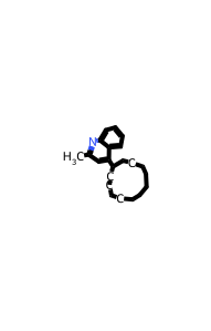 Cc1cc(C2CCCCCCCCCCC2)c2ccccc2n1